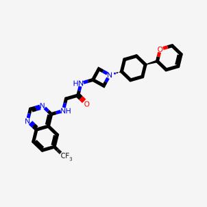 O=C(CNc1ncnc2ccc(C(F)(F)F)cc12)NC1CN([C@H]2CC[C@H](C3CC=CCO3)CC2)C1